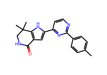 Cc1ccc(-c2nccc(-c3cc4c([nH]3)C(C)(C)CNC4=O)n2)cc1